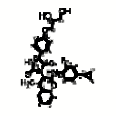 C[C@@H](c1ccccc1)[C@@H](C(=O)Nc1ccc(C2CC2)cc1F)N1C(=O)NC(c2ccc(OCC(O)CO)cc2)C1=O